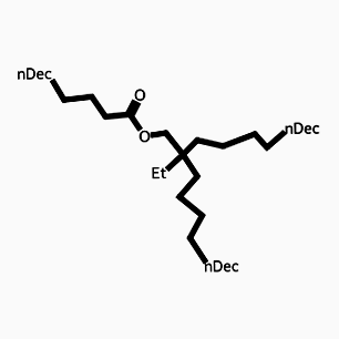 CCCCCCCCCCCCCCC(CC)(CCCCCCCCCCCCCC)COC(=O)CCCCCCCCCCCCC